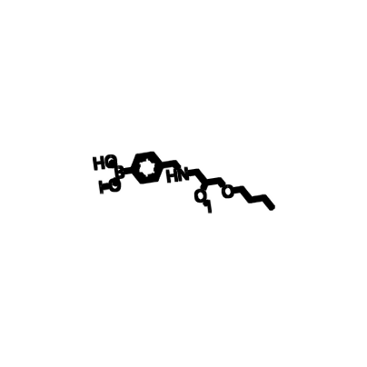 CCCCOCC(CNCc1ccc(B(O)OI)cc1)OI